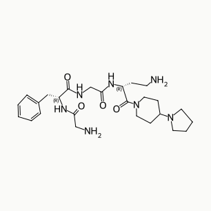 NCC[C@@H](NC(=O)CNC(=O)[C@@H](Cc1ccccc1)NC(=O)CN)C(=O)N1CCC(N2CCCC2)CC1